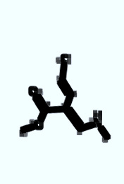 CN/C=C(\C=C\Cl)C(=O)OC